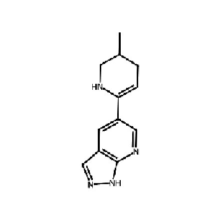 CC1CC=C(c2cnc3[nH]ncc3c2)NC1